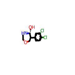 OC[C@H]1NCCOCC1c1ccc(Cl)c(Cl)c1